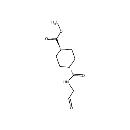 COC(=O)[C@H]1CC[C@H](C(=O)NCC=O)CC1